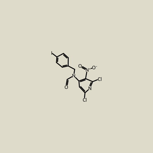 O=CN(Cc1ccc(I)cc1)c1cc(Cl)nc(Cl)c1[N+](=O)[O-]